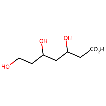 O=C(O)CC(O)CC(O)CCO